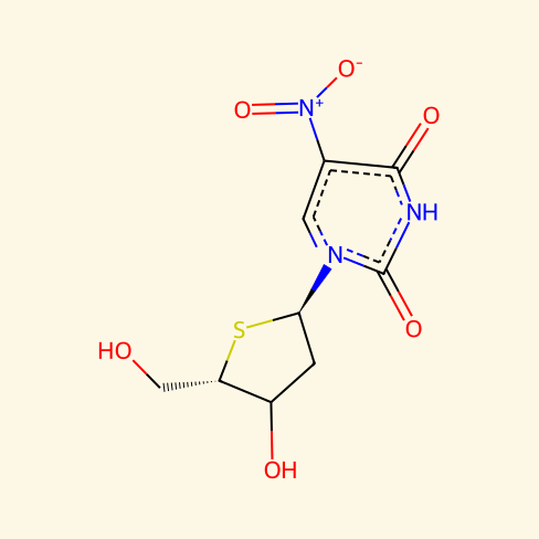 O=c1[nH]c(=O)n([C@H]2CC(O)[C@H](CO)S2)cc1[N+](=O)[O-]